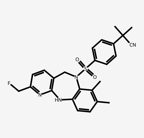 Cc1ccc2c(c1C)N(S(=O)(=O)c1ccc(C(C)(C)C#N)cc1)Cc1ccc(CF)nc1N2